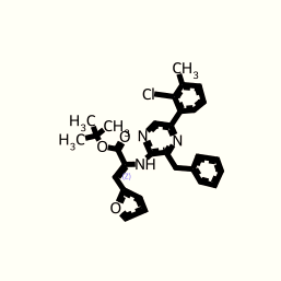 Cc1cccc(-c2cnc(N/C(=C\c3ccco3)C(=O)OC(C)(C)C)c(Cc3ccccc3)n2)c1Cl